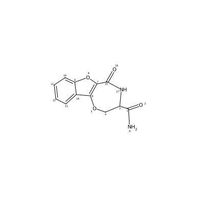 NC(=O)C1COc2c(oc3ccccc23)C(=O)N1